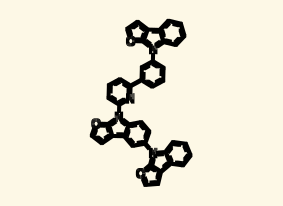 c1cc(-c2cccc(-n3c4ccc(-n5c6ccccc6c6ccoc65)cc4c4ccoc43)n2)cc(-n2c3ccccc3c3ccoc32)c1